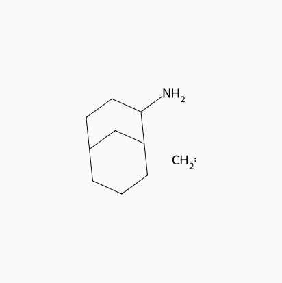 NC1CCC2CCCC1C2.[CH2]